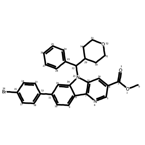 COC(=O)c1cnc2c3ccc(-c4ccc(Br)cc4)cc3n(C(c3ccccc3)C3CCOCC3)c2c1